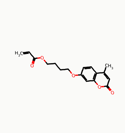 C=CC(=O)OCCCCOc1ccc2c(C)cc(=O)oc2c1